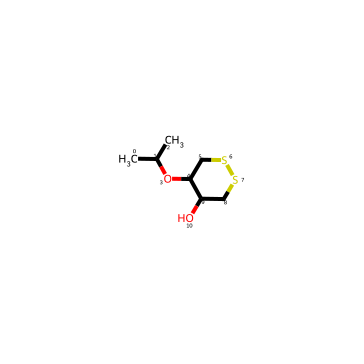 CC(C)OC1CSSCC1O